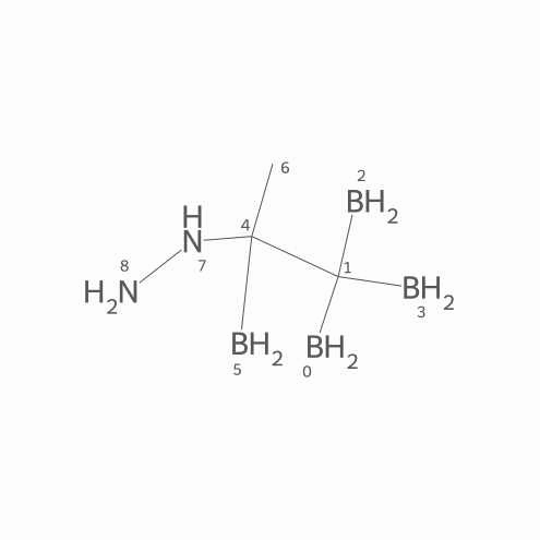 BC(B)(B)C(B)(C)NN